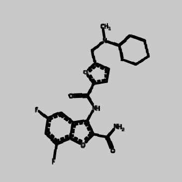 CN(Cc1ccc(C(=O)Nc2c(C(N)=O)oc3c(F)cc(F)cc23)o1)C1CCCCC1